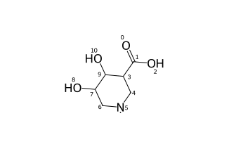 O=C(O)C1C[N]CC(O)C1O